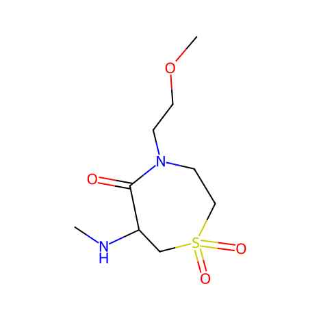 CNC1CS(=O)(=O)CCN(CCOC)C1=O